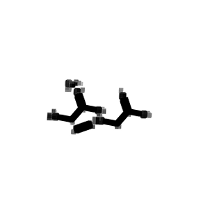 C=C.O=C([O-])CO.O=C([O-])CO.[Cu+2]